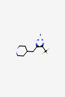 Cn1nc(CC2CCNCC2)c(C(F)(F)F)n1